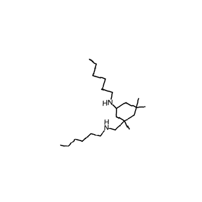 CCCCCCNCC1(C)CC(NCCCCCC)CC(C)(C)C1